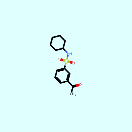 CC(=O)c1cccc(S(=O)(=O)NC2CCCCC2)c1